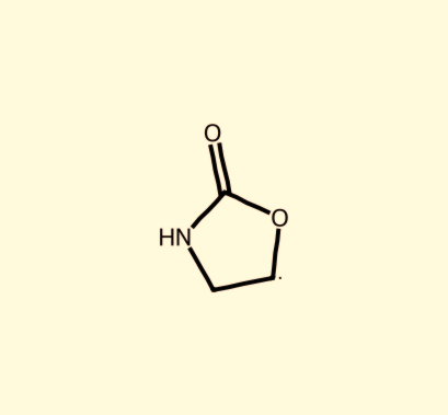 O=C1NC[CH]O1